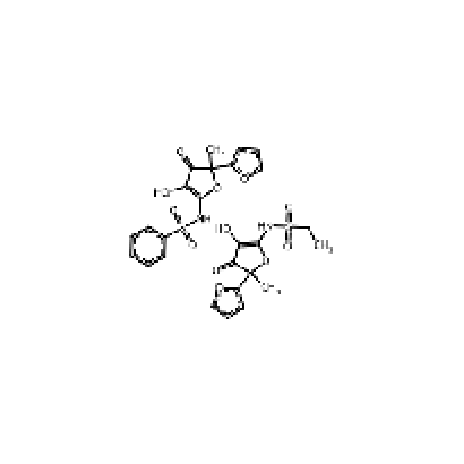 CC1(c2ccco2)OC(NS(=O)(=O)c2ccccc2)=C(O)C1=O.CCS(=O)(=O)NC1=C(O)C(=O)C(C)(c2ccco2)O1